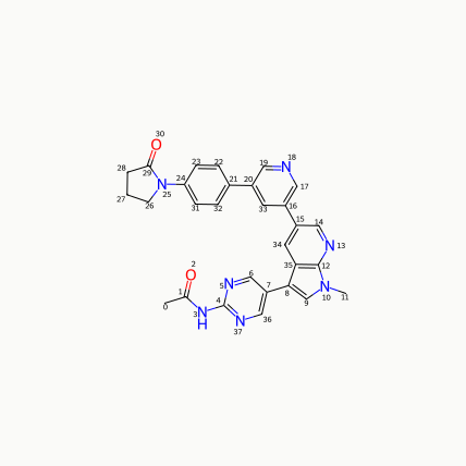 CC(=O)Nc1ncc(-c2cn(C)c3ncc(-c4cncc(-c5ccc(N6CCCC6=O)cc5)c4)cc23)cn1